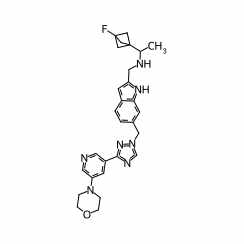 CC(NCc1cc2ccc(Cn3cnc(-c4cncc(N5CCOCC5)c4)n3)cc2[nH]1)C12CC(F)(C1)C2